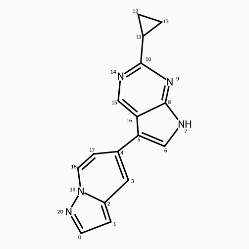 c1cc2cc(-c3c[nH]c4nc(C5CC5)ncc34)ccn2n1